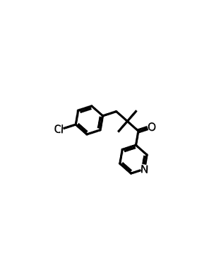 CC(C)(Cc1ccc(Cl)cc1)C(=O)c1cccnc1